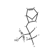 O=S(=O)(O)C(F)(CC1CC2C=CC1C2)C(F)(F)F